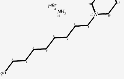 Br.CCCCCCCCCCCCCCCCCN1CCCCC1.N